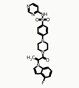 C=C(C(=O)N1CCN(c2ccc(S(=O)(=O)Nc3ccncn3)cc2)CC1)n1ccc2c(F)cccc21